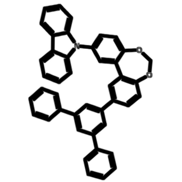 c1ccc(-c2cc(-c3ccccc3)cc(-c3ccc4c(c3)-c3cc(-n5c6ccccc6c6ccccc65)ccc3OCO4)c2)cc1